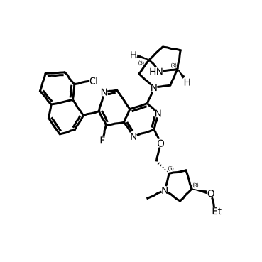 CCO[C@@H]1C[C@@H](COc2nc(N3C[C@H]4CC[C@@H](C3)N4)c3cnc(-c4cccc5cccc(Cl)c45)c(F)c3n2)N(C)C1